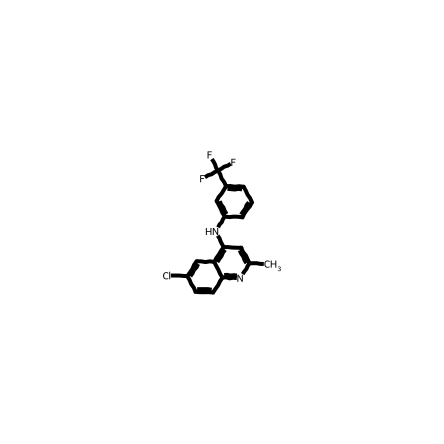 Cc1cc(Nc2cccc(C(F)(F)F)c2)c2cc(Cl)ccc2n1